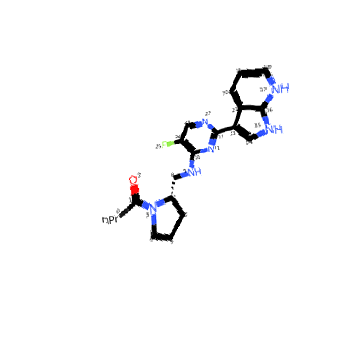 CCCC(=O)N1CCC[C@H]1CNc1nc(C2=CNC3NC=CC=C23)ncc1F